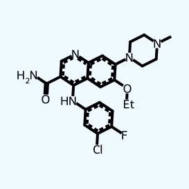 CCOc1cc2c(Nc3ccc(F)c(Cl)c3)c(C(N)=O)cnc2cc1N1CCN(C)CC1